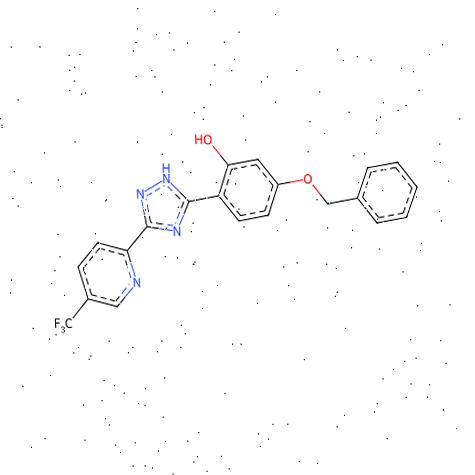 Oc1cc(OCc2ccccc2)ccc1-c1nc(-c2ccc(C(F)(F)F)cn2)n[nH]1